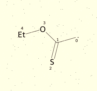 [CH2]C(=S)OCC